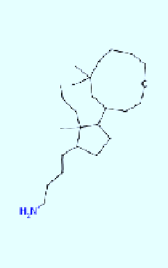 CCCC1(C)C(CCCCN)CCC1C1CCCCCCCC(C)(C)C1